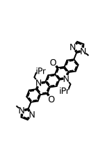 CC(C)Cn1c2ccc(-c3nccn3C)cc2c(=O)c2cc3c(cc21)c(=O)c1cc(-c2nccn2C)ccc1n3CC(C)C